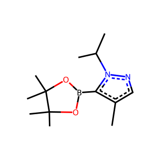 Cc1cnn(C(C)C)c1B1OC(C)(C)C(C)(C)O1